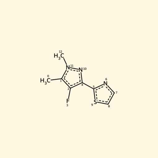 Cc1c(F)c(-c2nccs2)nn1C